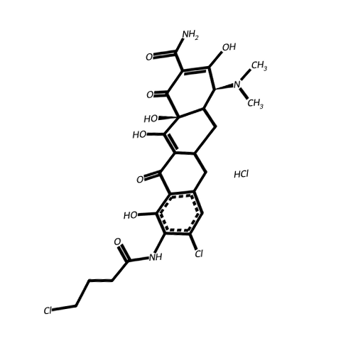 CN(C)[C@@H]1C(O)=C(C(N)=O)C(=O)[C@@]2(O)C(O)=C3C(=O)c4c(cc(Cl)c(NC(=O)CCCCl)c4O)CC3CC12.Cl